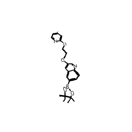 CC1(C)OB(c2ccc3ncc(OCCOc4c[c]ccn4)cc3c2)OC1(C)C